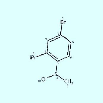 CC(C)c1cc(Br)ccc1[S+](C)[O-]